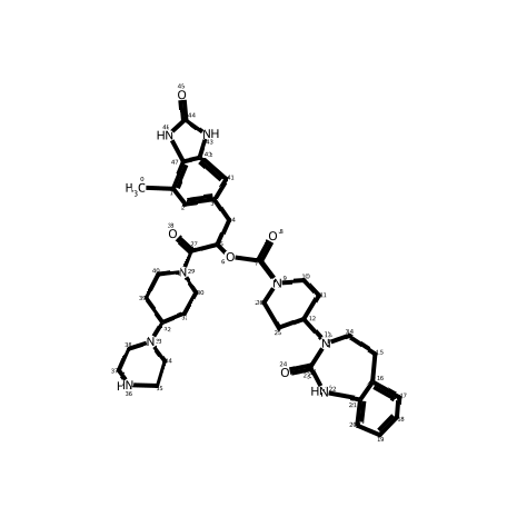 Cc1cc(CC(OC(=O)N2CCC(N3CCc4ccccc4NC3=O)CC2)C(=O)N2CCC(N3CCNCC3)CC2)cc2[nH]c(=O)[nH]c12